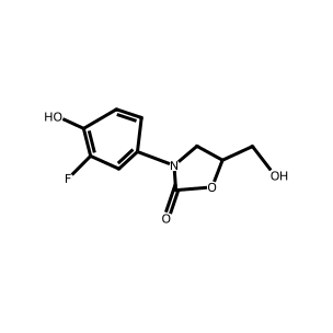 O=C1OC(CO)CN1c1ccc(O)c(F)c1